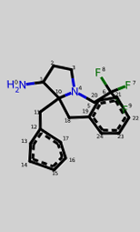 NC1CCN(CC(F)(F)F)C1(Cc1ccccc1)Cc1ccccc1